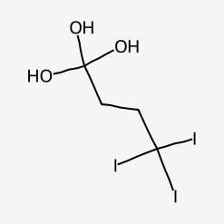 OC(O)(O)CCC(I)(I)I